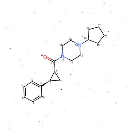 O=C([C@@H]1C[C@H]1c1ccccc1)N1CCN(C2CCCC2)CC1